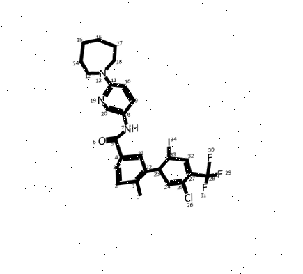 Cc1ccc(C(=O)Nc2ccc(N3CCCCCC3)nc2)cc1C1C=C(Cl)C(C(F)(F)F)=CC1I